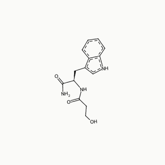 NC(=O)[C@@H](Cc1c[nH]c2ccccc12)NC(=O)CCO